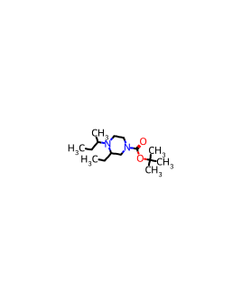 CCC(C)N1CCN(C(=O)OC(C)(C)C)CC1CC